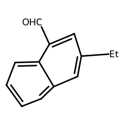 CCc1cc(C=O)c2ccccc2c1